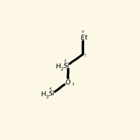 CC[CH][SiH2]O[SiH3]